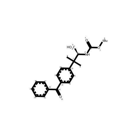 CC(C)(C)OC(=O)N[C@H](C(=O)O)C(C)(C)c1ccc(C(=O)c2ccccc2)cc1